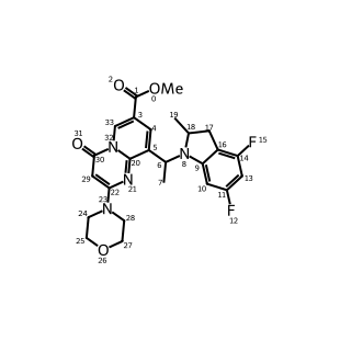 COC(=O)c1cc(C(C)N2c3cc(F)cc(F)c3CC2C)c2nc(N3CCOCC3)cc(=O)n2c1